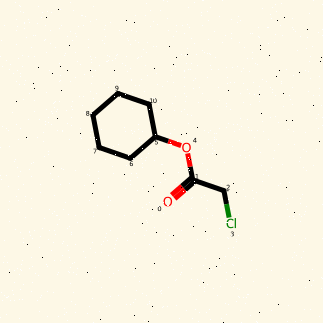 O=C([CH]Cl)OC1CCCCC1